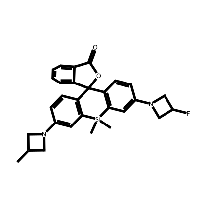 CC1CN(c2ccc3c(c2)[Si](C)(C)c2cc(N4CC(F)C4)ccc2C32OC(=O)c3ccccc32)C1